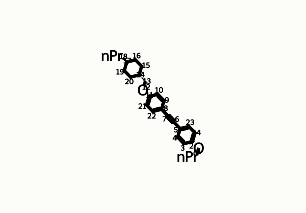 CCCOc1ccc(C#Cc2ccc(OC[C@H]3CC[C@H](CCC)CC3)cc2)cc1